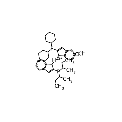 CCC(C)P(C1=Cc2ccccc2[CH]1[Hf+2][CH]1C(P(C2CCCCC2)C2CCCCC2)=Cc2ccccc21)C(C)CC.[Cl-].[Cl-]